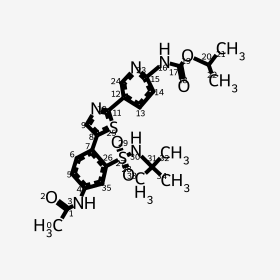 CC(=O)Nc1ccc(-c2cnc(-c3ccc(NC(=O)OC(C)C)nc3)s2)c(S(=O)(=O)NC(C)(C)C)c1